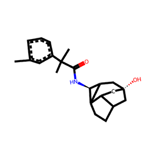 Cc1cccc(C(C)(C)C(=O)N[C@H]2C3C[C@@]4(O)CC5CCC32C5C4)c1